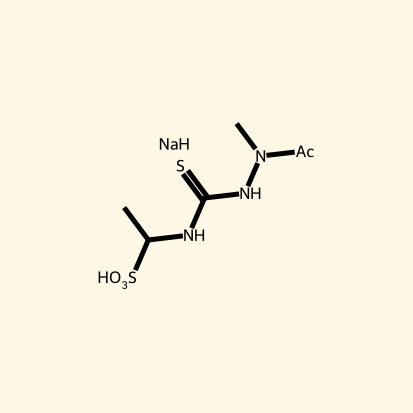 CC(=O)N(C)NC(=S)NC(C)S(=O)(=O)O.[NaH]